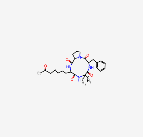 CCC(=O)CCCCCC1NC(=O)C2CCCN2C(=O)C(Cc2ccccc2)NC(=O)C(C)(C)NC1=O